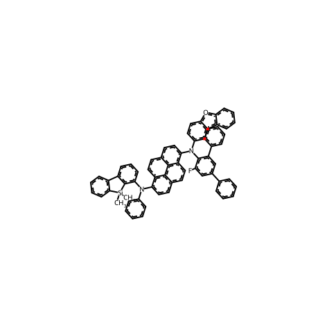 C[Si]1(C)c2ccccc2-c2cccc(N(c3ccccc3)c3ccc4ccc5c(N(c6ccc7oc8ccccc8c7c6)c6c(F)cc(-c7ccccc7)cc6-c6ccccc6)ccc6ccc3c4c65)c21